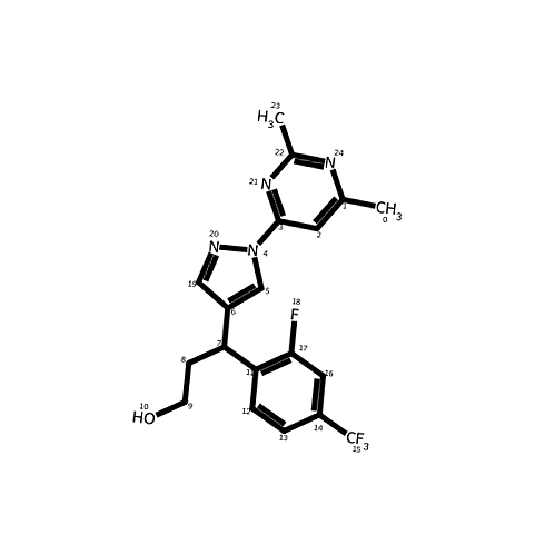 Cc1cc(-n2cc(C(CCO)c3ccc(C(F)(F)F)cc3F)cn2)nc(C)n1